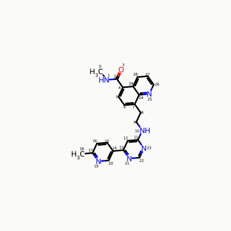 CNC(=O)c1ccc(CCNc2cc(-c3ccc(C)nc3)ncn2)c2ncccc12